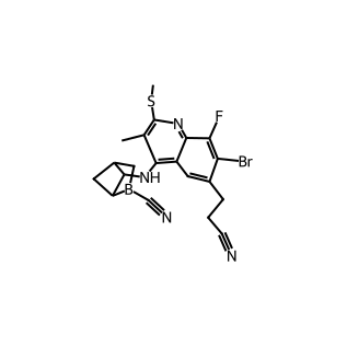 CSc1nc2c(F)c(Br)c(CCC#N)cc2c(NC2C3CB(C#N)C2C3)c1C